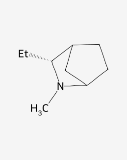 CC[C@@H]1C2CCC(C2)N1C